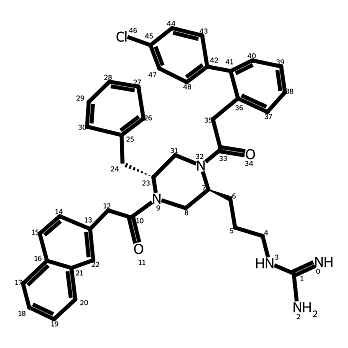 N=C(N)NCCC[C@H]1CN(C(=O)Cc2ccc3ccccc3c2)[C@H](Cc2ccccc2)CN1C(=O)Cc1ccccc1-c1ccc(Cl)cc1